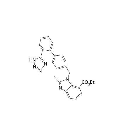 CCOC(=O)c1cccc2nc(C)n(Cc3ccc(-c4ccccc4-c4nnn[nH]4)cc3)c12